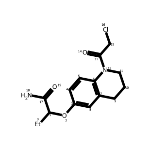 CCC(Oc1ccc2c(c1)CCCN2C(=O)CCl)C(N)=O